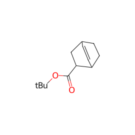 CC(C)(C)OC(=O)C1CC2C=CC1CC2